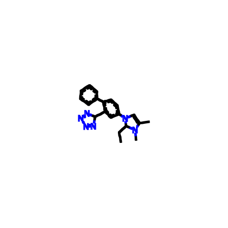 CCC1N(C)C(C)=CN1c1ccc(-c2ccccc2)c(C2N=NN=N2)c1